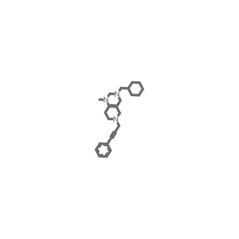 CN1CN(CC2CCCCC2)CC2=C1CCN(CC#Cc1ccccc1)C2